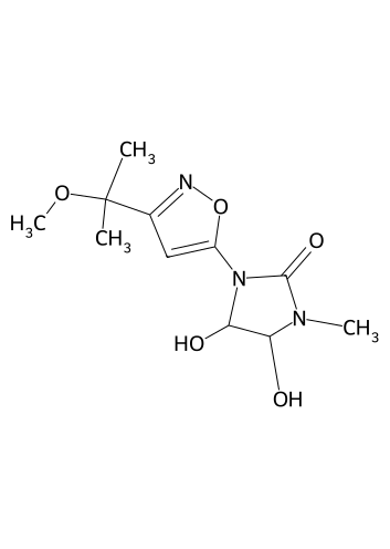 COC(C)(C)c1cc(N2C(=O)N(C)C(O)C2O)on1